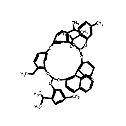 CCc1ccc2cc1OP(Oc1cc(C)ccc1C(C)C)Oc1ccc3ccccc3c1-c1c(ccc3ccccc13)OP(Oc1cc(C)ccc1C(C)C)Oc1cc(ccc1C(C)C)C2